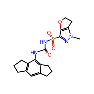 Cn1nc(S(=O)(=O)NC(=O)Nc2c3c(cc4c2CCC4)CCC3)c2c1CCO2